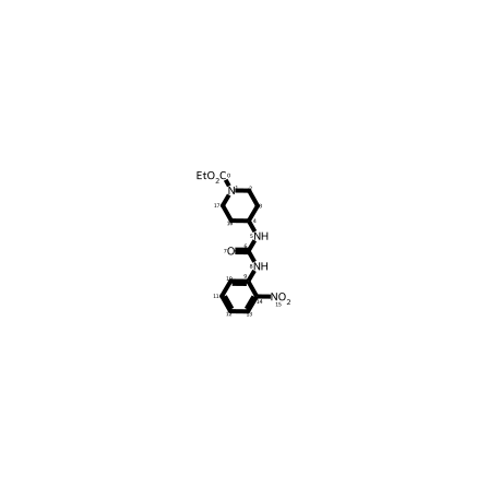 CCOC(=O)N1CCC(NC(=O)Nc2ccccc2[N+](=O)[O-])CC1